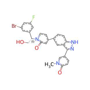 Cn1cc(-c2n[nH]c3ccc(-c4ccn([C@H](CO)c5cc(F)cc(Br)c5)c(=O)c4)cc23)ccc1=O